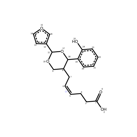 O=C(O)CC/C=C\CC1COC(c2ccoc2)OC1c1ccccc1O